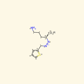 NCCC[C@H](/N=N\Cc1cccs1)C(=O)O